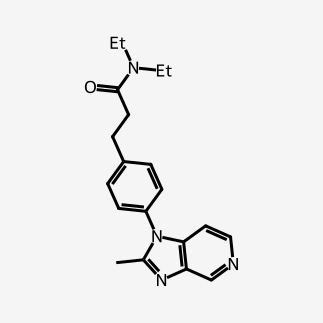 CCN(CC)C(=O)CCc1ccc(-n2c(C)nc3cnccc32)cc1